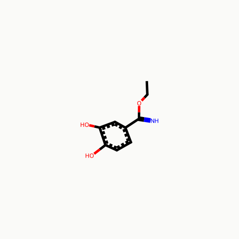 CCOC(=N)c1ccc(O)c(O)c1